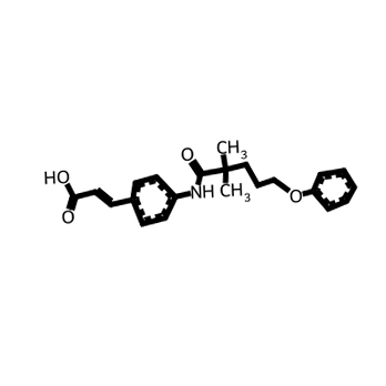 CC(C)(CCCOc1ccccc1)C(=O)Nc1ccc(C=CC(=O)O)cc1